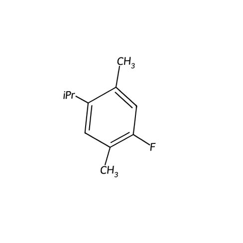 Cc1cc(C(C)C)c(C)cc1F